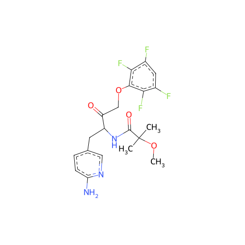 COC(C)(C)C(=O)NC(Cc1ccc(N)nc1)C(=O)COc1c(F)c(F)cc(F)c1F